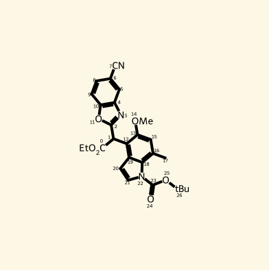 CCOC(=O)C(c1nc2cc(C#N)ccc2o1)c1c(OC)cc(C)c2c1ccn2C(=O)OC(C)(C)C